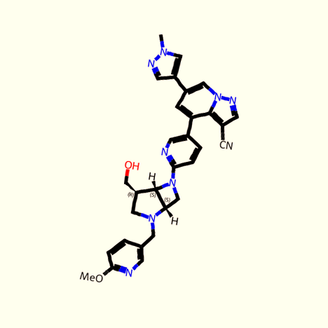 COc1ccc(CN2C[C@@H](CO)[C@H]3[C@@H]2CN3c2ccc(-c3cc(-c4cnn(C)c4)cn4ncc(C#N)c34)cn2)cn1